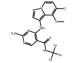 [2H]C([2H])([2H])NC(=O)c1cnc(N)nc1Nc1cnn2ccc(Cl)c(OC)c12